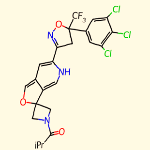 CC(C)C(=O)N1CC2(C1)OC=C1C=C(C3=NOC(c4cc(Cl)c(Cl)c(Cl)c4)(C(F)(F)F)C3)NC=C12